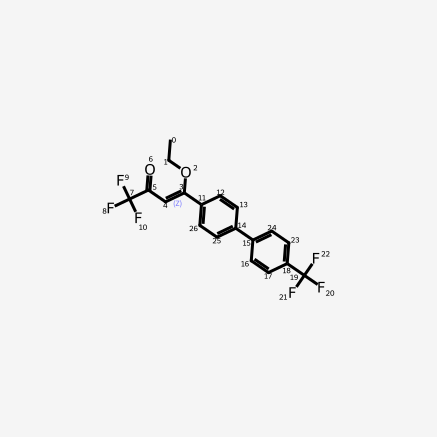 CCO/C(=C\C(=O)C(F)(F)F)c1ccc(-c2ccc(C(F)(F)F)cc2)cc1